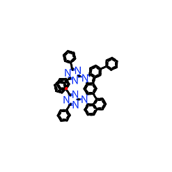 c1ccc(-c2ccc3c(c2)c2cc4c(cc2n3-c2nc(-c3ccccc3)nc(-c3ccccc3)n2)N(c2nc(-c3ccccc3)nc(-c3ccccc3)n2)c2cccc3cccc-4c23)cc1